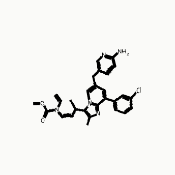 C=CN(/C=C\C(C)c1c(C)nc2c(-c3cccc(Cl)c3)cc(Cc3ccc(N)nc3)cn12)C(=O)OC